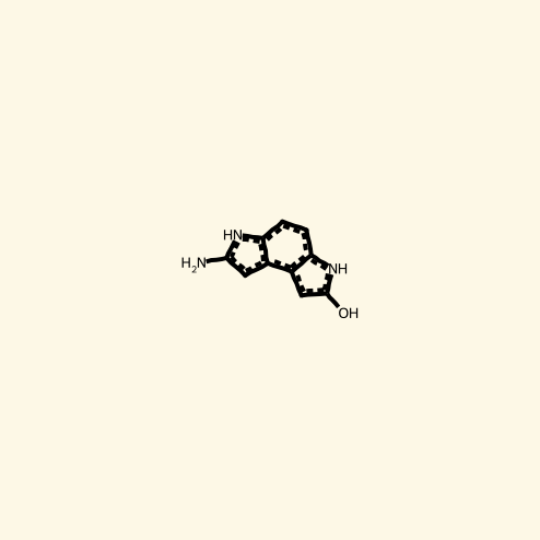 Nc1cc2c(ccc3[nH]c(O)cc32)[nH]1